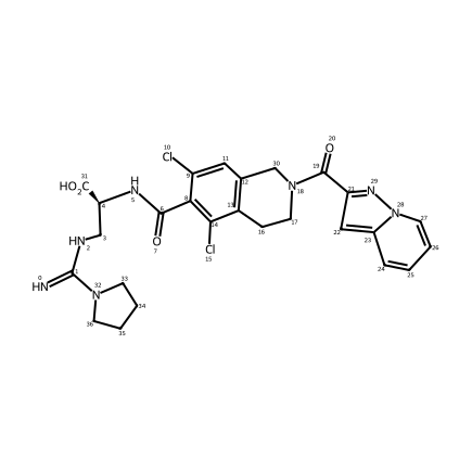 N=C(NC[C@H](NC(=O)c1c(Cl)cc2c(c1Cl)CCN(C(=O)c1cc3ccccn3n1)C2)C(=O)O)N1CCCC1